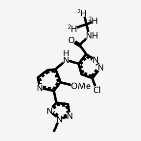 [2H]C([2H])([2H])NC(=O)c1nnc(Cl)cc1Nc1ccnc(-c2cnn(C)n2)c1OC